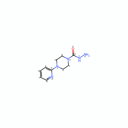 NNC(=O)N1CCN(c2ccccn2)CC1